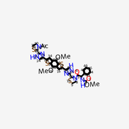 COC(=O)NC(C(=O)N1CCS[C@H]1c1nc(-c2cc3c(OC)c4sc(-c5c[nH]c([C@@H]6SCCN6C(C)=O)n5)cc4c(OC)c3s2)c[nH]1)c1ccccc1